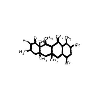 C=C1C2C(C)C(CCC)CC(CCC)C2CC2(C)CC3(C)CC(C)=C(C(C)=O)C(=O)C3(C)C(C)C12